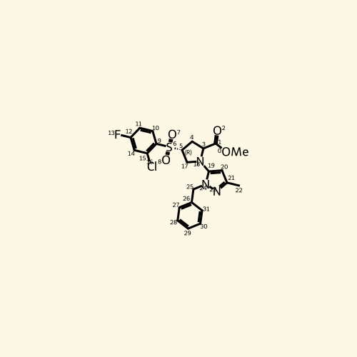 COC(=O)C1C[C@@H](S(=O)(=O)c2ccc(F)cc2Cl)CN1c1cc(C)nn1Cc1ccccc1